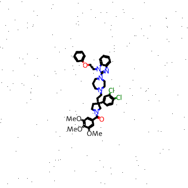 COc1cc(C(=O)N2CCC(CCN3CCCN(c4nc5ccccc5n4CCOc4ccccc4)CC3)(c3ccc(Cl)c(Cl)c3)C2)cc(OC)c1OC